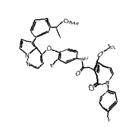 CCOc1ccn(-c2ccc(F)cc2)c(=O)c1C(=O)Nc1ccc(Oc2ccnn3ccc(-c4cccc(C(C)OC)c4)c23)c(F)c1